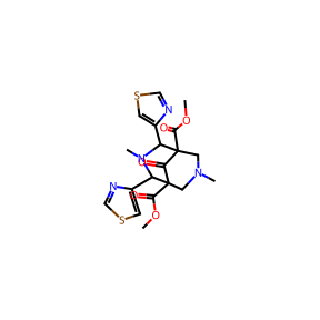 COC(=O)C12CN(C)CC(C(=O)OC)(C1=O)C(c1cscn1)N(C)C2c1cscn1